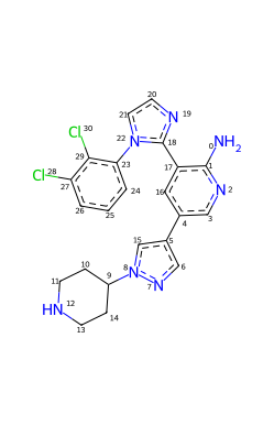 Nc1ncc(-c2cnn(C3CCNCC3)c2)cc1-c1nccn1-c1cccc(Cl)c1Cl